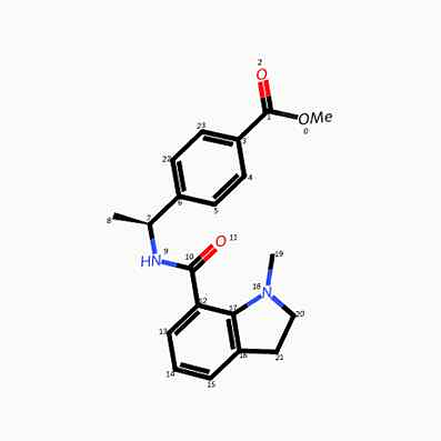 COC(=O)c1ccc([C@H](C)NC(=O)c2cccc3c2N(C)CC3)cc1